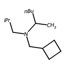 CCCCC(C)N(CC(C)C)CC1CCC1